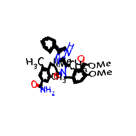 CNC(Cc1c(C)cc(C(N)=O)cc1C)C(=O)N(Cc1ccc(OC)c(C(=O)OC)c1)C(C)c1nc(-c2ccccc2)c[nH]1